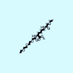 CCOCCOCCOCC(=O)NC(CCCCNC(=O)COCC)C(=O)OC